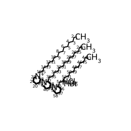 Br.CCCCCCCCCCCCCCCC[n+]1ccccc1.CCCCCCCCCCCCCCc1ccccn1.CCCCCCCCCCCCc1ccccn1.Cl